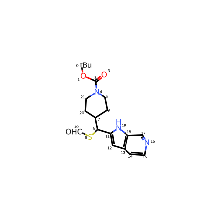 CC(C)(C)OC(=O)N1CCC(C(SC=O)c2cc3ccncc3[nH]2)CC1